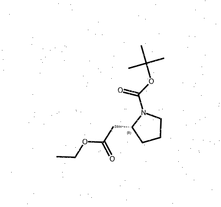 CCOC(=O)C[C@H]1CCCN1C(=O)OC(C)(C)C